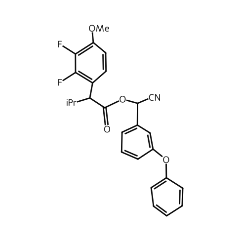 COc1ccc(C(C(=O)OC(C#N)c2cccc(Oc3ccccc3)c2)C(C)C)c(F)c1F